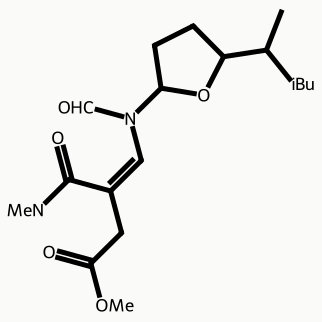 CCC(C)C(C)C1CCC(N(C=O)/C=C(/CC(=O)OC)C(=O)NC)O1